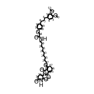 COc1ccc(CCCc2ccc(OCC(=O)NCCCCCCCCCCOC3=C4C(=O)N(C5CCC(=O)NC5=O)C(=O)C4=CCC3)cc2)cc1OC